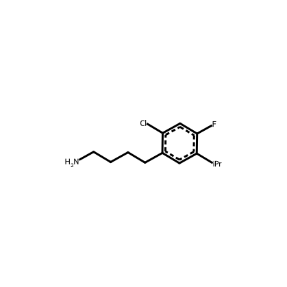 CC(C)c1cc(CCCCN)c(Cl)cc1F